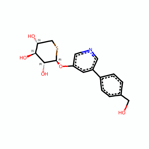 OCc1ccc(-c2cncc(O[C@@H]3SC[C@@H](O)[C@H](O)[C@H]3O)c2)cc1